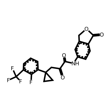 O=C(CC1(c2cccc(C(F)(F)F)c2F)CC1)C(=O)Nc1ccc2c(c1)COC2=O